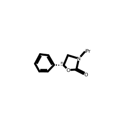 CC(C)N1C[C@@H](c2ccccc2)OC1=O